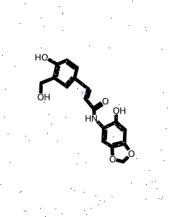 O=C(/C=C/c1ccc(O)c(CO)c1)Nc1cc2c(cc1O)OCO2